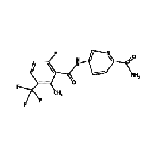 Cc1c(C(F)(F)F)ccc(F)c1C(=O)Nc1ccc(C(N)=O)nc1